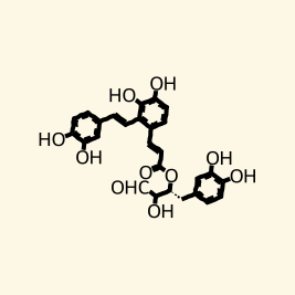 O=CC(O)[C@@H](Cc1ccc(O)c(O)c1)OC(=O)/C=C/c1ccc(O)c(O)c1/C=C/c1ccc(O)c(O)c1